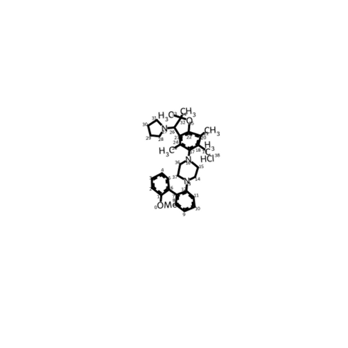 COc1ccccc1-c1ccccc1N1CCN(c2c(C)c(C)c3c(c2C)C(N2CCCC2)C(C)(C)O3)CC1.Cl